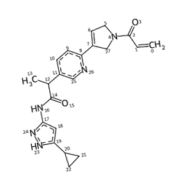 C=CC(=O)N1CC=C(c2ccc(C(C)C(=O)Nc3cc(C4CC4)[nH]n3)cn2)C1